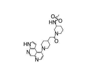 CS(=O)(=O)NC1CCCN(C(=O)CC2CCN(c3ccnc4cnc5[nH]ccc5c34)CC2)C1